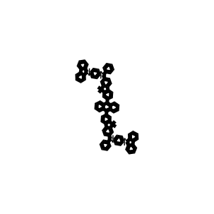 CC1(C)c2cc(-c3c4ccccc4c(-c4ccc5c(c4)C(C)(C)c4cc(N(c6ccccc6)c6ccc(-n7c8ccccc8c8ccccc87)cc6)ccc4-5)c4ccccc34)ccc2-c2ccc(N(c3ccccc3)c3ccc(-n4c5ccccc5c5ccccc54)cc3)cc21